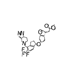 COC(=O)CC1COc2cc(O[C@@H]3CCc4c3ccc(C(F)(F)F)c4CN3CCc4nn(C)cc4C3)ccc21